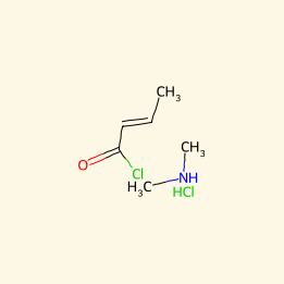 CC=CC(=O)Cl.CNC.Cl